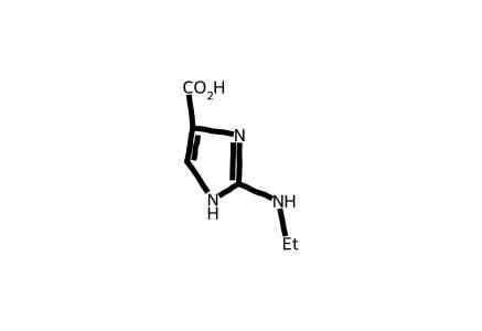 CCNc1nc(C(=O)O)c[nH]1